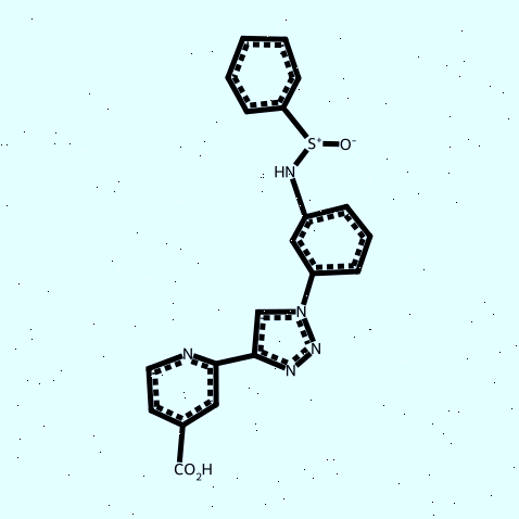 O=C(O)c1ccnc(-c2cn(-c3cccc(N[S+]([O-])c4ccccc4)c3)nn2)c1